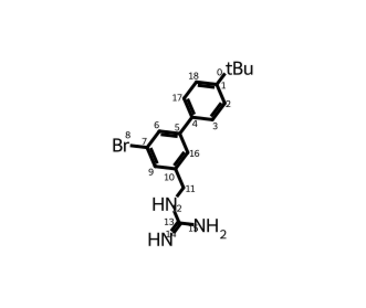 CC(C)(C)c1ccc(-c2cc(Br)cc(CNC(=N)N)c2)cc1